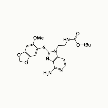 COc1cc2c(cc1Sc1nc3c(N)nccc3n1CCNC(=O)OC(C)(C)C)OCO2